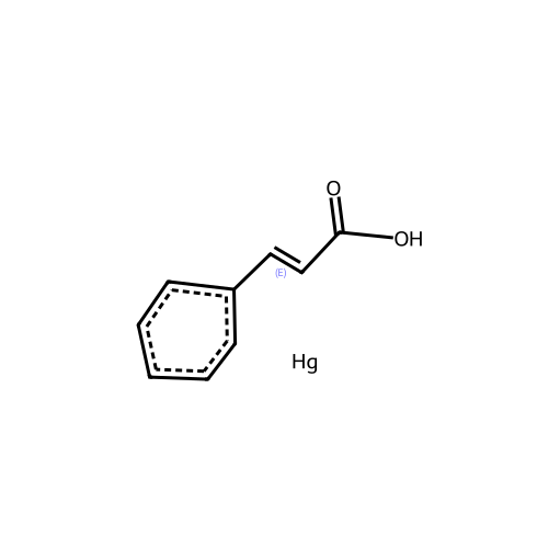 O=C(O)/C=C/c1ccccc1.[Hg]